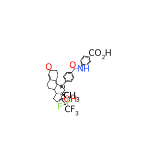 C[C@]12C[C@H](c3ccc(C(=O)Nc4ccc(C(=O)O)cc4)cc3)C3=C4CCC(=O)C=C4CCC3C1CC[C@]2(O)C(F)(F)C(F)(F)F